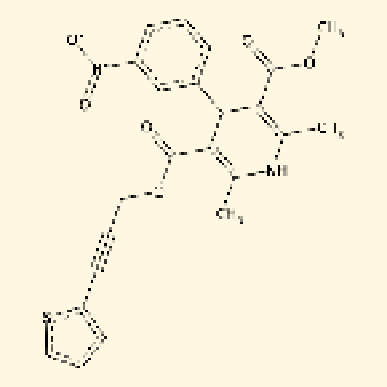 COC(=O)C1=C(C)NC(C)=C(C(=O)OCC#Cc2cccs2)C1c1cccc([N+](=O)[O-])c1